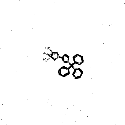 C[C@@]1(O)CN(c2ccn(C(c3ccccc3)(c3ccccc3)c3ccccc3)n2)C[C@@H]1O